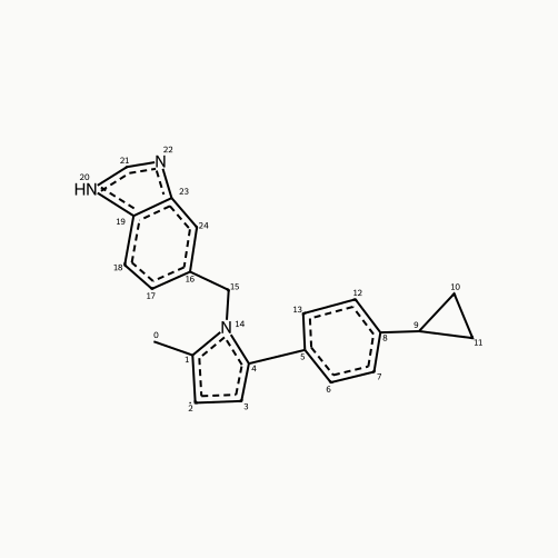 Cc1[c]cc(-c2ccc(C3CC3)cc2)n1Cc1ccc2[nH]cnc2c1